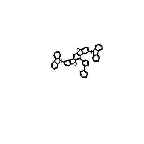 C1=CC2c3ccccc3N(c3ccc4oc5c(-c6cccc(-c7ccccc7)c6)c6c(cc5c4c3)oc3ccc(-n4c5ccccc5c5ccccc54)cc36)C2C=C1